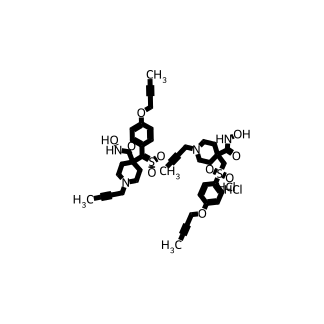 CC#CCOc1ccc(C(=S(=O)=O)C2(C(=O)NO)CCN(CC#CC)CC2)cc1.CC#CCOc1ccc(S(=O)(=O)CC2(C(=O)NO)CCN(CC#CC)CC2)cc1.Cl.Cl